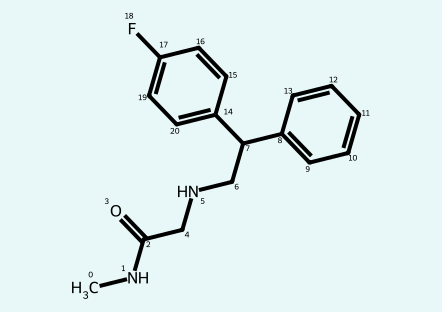 CNC(=O)CNCC(c1ccccc1)c1ccc(F)cc1